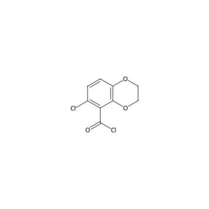 O=C(Cl)c1c(Cl)ccc2c1OCCO2